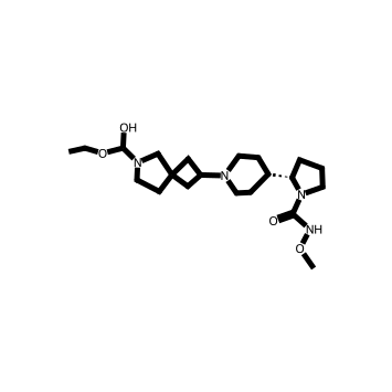 CCOC(O)N1CCC2(CC(N3CCC([C@@H]4CCCN4C(=O)NOC)CC3)C2)C1